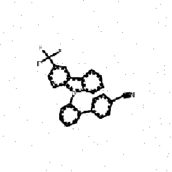 N#Cc1ccc(-c2ccccc2-n2c3ccccc3c3cc(C(F)(F)F)ccc32)cc1